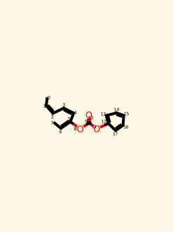 C\C=C/C=C\C(=C/C)OC(=O)Oc1ccccc1